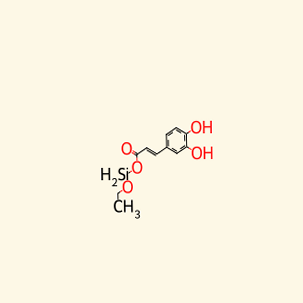 CCO[SiH2]OC(=O)/C=C/c1ccc(O)c(O)c1